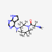 [2H]C([2H])([N+]#[C-])C(=O)N1C([2H])([2H])C([2H])([2H])[C@@]([2H])(C)[C@@]([2H])(N(C)c2ncnc3[nH]ccc23)C1([2H])[2H]